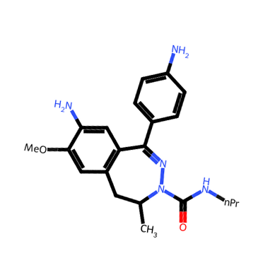 CCCNC(=O)N1N=C(c2ccc(N)cc2)c2cc(N)c(OC)cc2CC1C